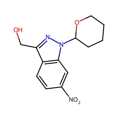 O=[N+]([O-])c1ccc2c(CO)nn(C3CCCCO3)c2c1